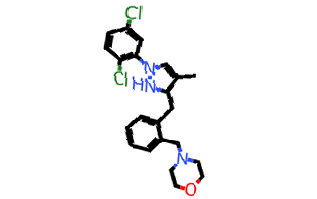 CC1=CN(c2cc(Cl)ccc2Cl)NC1Cc1ccccc1CN1CCOCC1